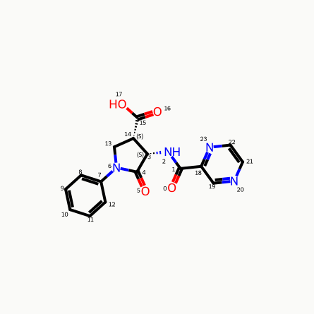 O=C(N[C@@H]1C(=O)N(c2ccccc2)C[C@@H]1C(=O)O)c1cnccn1